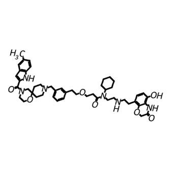 Cc1ccc2[nH]c(C(=O)N3CCOC4(CCN(Cc5cccc(CCOCCC(=O)N(CCNCCc6ccc(O)c7c6OCC(=O)N7)C6CCCCC6)c5)CC4)C3)cc2c1